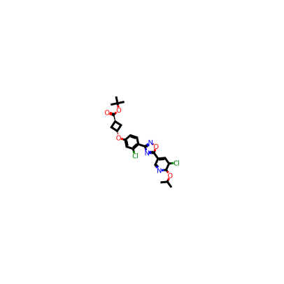 CC(C)OC1N=CC(c2nc(-c3ccc(O[C@H]4C[C@H](C(=O)OC(C)(C)C)C4)cc3Cl)no2)=CC1Cl